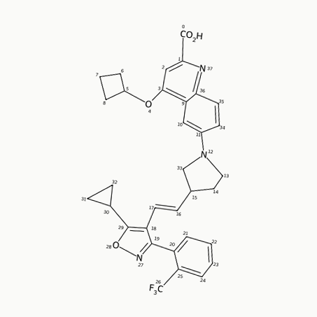 O=C(O)c1cc(OC2CCC2)c2cc(N3CCC(C=Cc4c(-c5ccccc5C(F)(F)F)noc4C4CC4)C3)ccc2n1